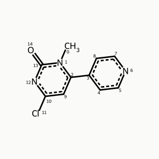 Cn1c(-c2ccncc2)cc(Cl)nc1=O